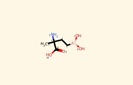 CC(N)(CCB(O)O)C(=O)O